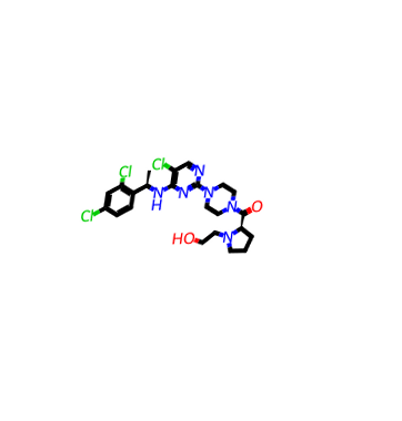 C[C@@H](Nc1nc(N2CCN(C(=O)[C@H]3CCCN3CCO)CC2)ncc1Cl)c1ccc(Cl)cc1Cl